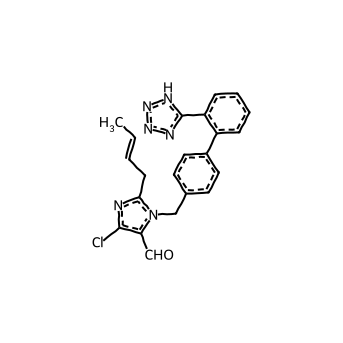 CC=CCc1nc(Cl)c(C=O)n1Cc1ccc(-c2ccccc2-c2nnn[nH]2)cc1